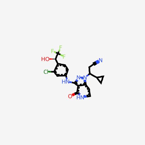 N#CCC(C1CC1)n1nc(Nc2ccc([C@@H](O)C(F)(F)F)c(Cl)c2)c2c(=O)[nH]ccc21